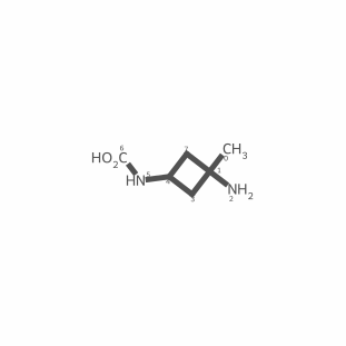 CC1(N)CC(NC(=O)O)C1